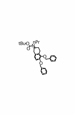 CCCN(C(=O)OC(C)(C)C)[C@H]1CCc2c(ccc(OCc3ccccc3)c2OCc2ccccc2)C1